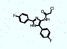 O=C(CCl)Nc1nc(-c2ccc(F)cc2)[nH]c1-c1ccc(F)cc1